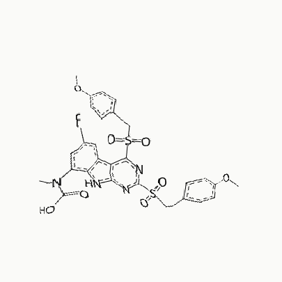 COc1ccc(CS(=O)(=O)c2nc(S(=O)(=O)Cc3ccc(OC)cc3)c3c(n2)[nH]c2c(N(C)C(=O)O)cc(F)cc23)cc1